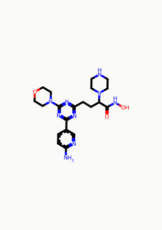 Nc1ccc(-c2nc(CCC(C(=O)NO)N3CCNCC3)nc(N3CCOCC3)n2)cn1